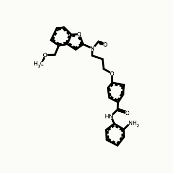 COCc1cccc2oc(N(C=O)CCCOc3ccc(C(=O)Nc4ccccc4N)cc3)cc12